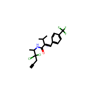 C#CCC(Cl)(Cl)C(C)NC(=O)/C(=C/c1ccc(C(F)(F)F)cc1)C(C)C